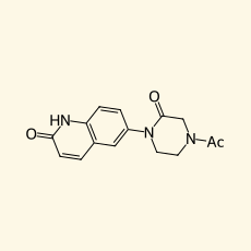 CC(=O)N1CCN(c2ccc3[nH]c(=O)ccc3c2)C(=O)C1